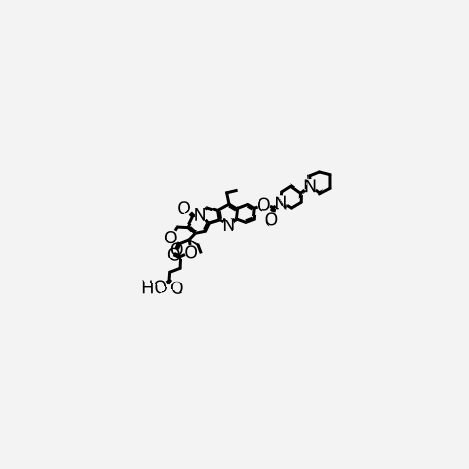 CCc1c2c(nc3ccc(OC(=O)N4CCC(N5CCCCC5)CC4)cc13)-c1cc3c(c(=O)n1C2)COC(=O)[C@@]3(CC)OC(=O)CCC(=O)O